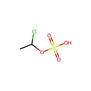 C[C](Cl)OS(=O)(=O)O